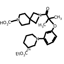 CCOC(=O)[C@@H]1CCCN(c2cccc(OC(C)(C)C(=O)N3CC4(CCN(C(=O)O)CC4)C3)c2)C1